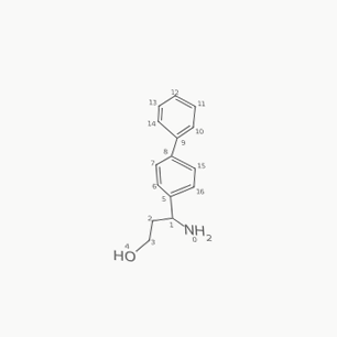 NC(CCO)c1ccc(-c2ccccc2)cc1